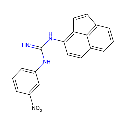 N=C(Nc1cccc([N+](=O)[O-])c1)Nc1ccc2cccc3c2c1C=C3